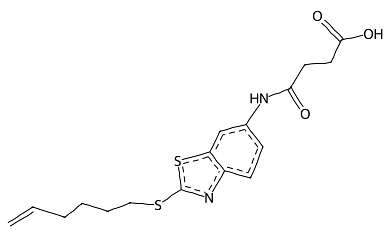 C=CCCCCSc1nc2ccc(NC(=O)CCC(=O)O)cc2s1